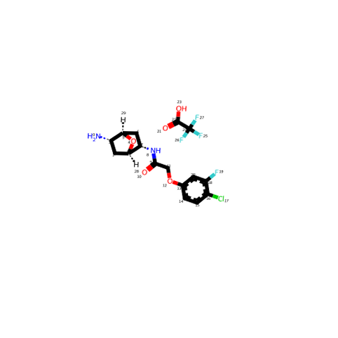 N[C@H]1C[C@H]2O[C@@H]1C[C@@H]2NC(=O)COc1ccc(Cl)c(F)c1.O=C(O)C(F)(F)F